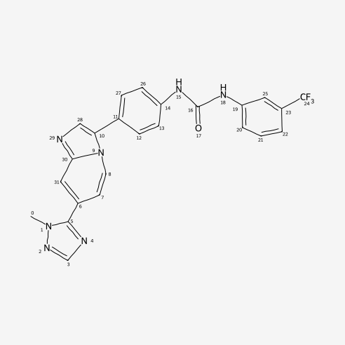 Cn1ncnc1-c1ccn2c(-c3ccc(NC(=O)Nc4cccc(C(F)(F)F)c4)cc3)cnc2c1